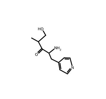 CC(CO)C(=O)C(N)Cc1ccncc1